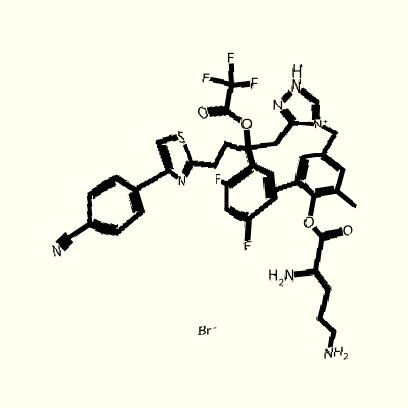 Cc1cc(C[n+]2c[nH]nc2CC(CCc2nc(-c3ccc(C#N)cc3)cs2)(OC(=O)C(F)(F)F)c2ccc(F)cc2F)cc(C)c1OC(=O)C(N)CCCN.[Br-]